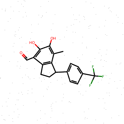 Cc1c(O)c(O)c(C=O)c2c1C(c1ccc(C(F)(F)F)cc1)CC2